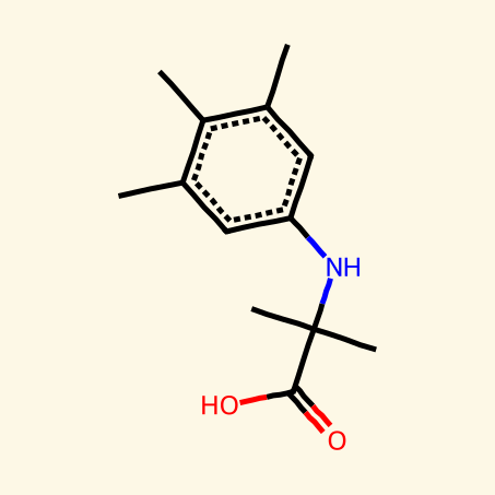 Cc1cc(NC(C)(C)C(=O)O)cc(C)c1C